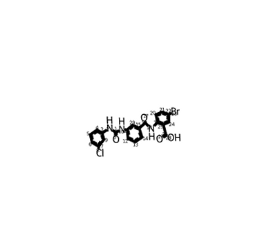 O=C(Nc1cccc(Cl)c1)Nc1cccc(C(=O)Nc2ccc(Br)cc2C(=O)O)c1